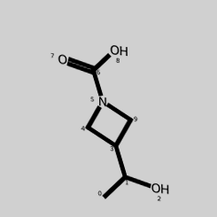 CC(O)C1CN(C(=O)O)C1